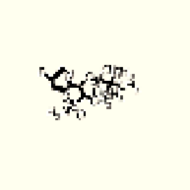 CC(C(O[Si](C)(C)C(C)(C)C)c1ccc(F)cn1)S(N)(=O)=O